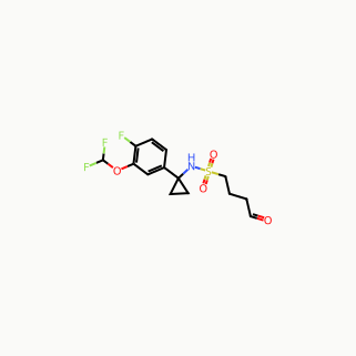 O=CCCCS(=O)(=O)NC1(c2ccc(F)c(OC(F)F)c2)CC1